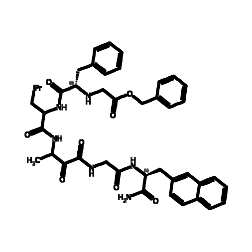 CC(C)CC(NC(=O)[C@H](Cc1ccccc1)NCC(=O)OCc1ccccc1)C(=O)NC(C)C(=O)C(=O)NCC(=O)N[C@@H](Cc1ccc2ccccc2c1)C(N)=O